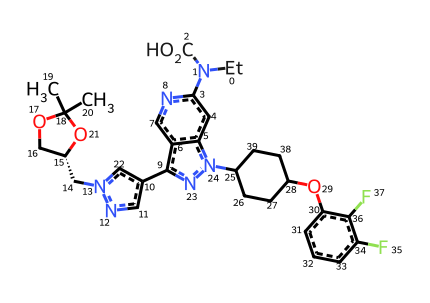 CCN(C(=O)O)c1cc2c(cn1)c(-c1cnn(C[C@@H]3COC(C)(C)O3)c1)nn2C1CCC(Oc2cccc(F)c2F)CC1